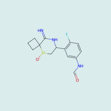 N=C1NC(c2cc(NC=O)ccc2F)C[S+]([O-])C12CCC2